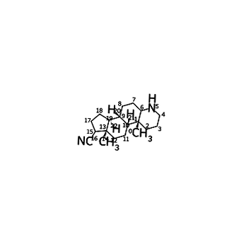 C[C@]12CCCNC1CC[C@@H]1[C@H]2CC[C@]2(C)C(C#N)CC[C@@H]12